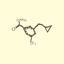 COC(=O)c1cc(CC2CC2)cc(C(F)(F)F)c1